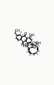 CCc1ccc2c(c1)C(=O)c1c(O)cc3c(c1C2=O)N[C@H]1C#C/C=C\C#C[C@@H](O)[C@@]32O[C@@]12C(C)C